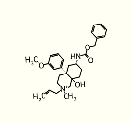 C=CC[N@@+]1(C)CC[C@@]2(c3cccc(OC)c3)C[C@H](NC(=O)OCc3ccccc3)CCC2(O)C1